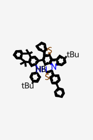 CC(C)(C)c1ccc(Nc2cc3c(cc2-c2c4c5c(c6cc(C(C)(C)C)ccc6n5-c5c(sc6cc(-c7ccccc7)ccc56)B4)c4sc5ccccc5c24)C(C)(C)c2ccccc2C3(C)C)cc1